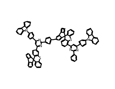 c1ccc(-c2nc(-c3ccc(-n4c5ccccc5c5ccccc54)cc3)cc(-c3cccc4c3Sc3ccccc3C43c4ccccc4-c4cc(-c5ccc(-c6nc(-c7ccc(-n8c9ccccc9c9ccccc98)cc7)cc(-c7ccc8c(c7)Sc7ccccc7C87c8ccccc8-c8ccccc87)n6)cc5)ccc43)n2)cc1